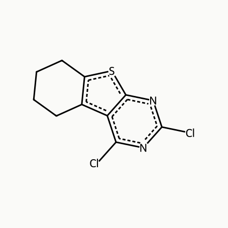 Clc1nc(Cl)c2c3c(sc2n1)CCCC3